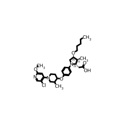 CCCCCO[C@H]1CN(c2ccc(OC3CCN(c4cc(OC)ncc4Cl)CC3C)cc2)[C@@H](CC(=O)O)[C@@H]1C